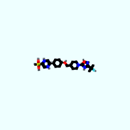 CC(C)(F)c1noc(N2CCC(CO[C@H]3CC[C@H](c4cnc(S(C)(=O)=O)cn4)CC3)CC2)n1